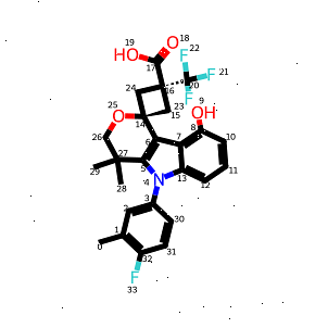 Cc1cc(-n2c3c(c4c(O)cccc42)[C@]2(C[C@@](C(=O)O)(C(F)(F)F)C2)OCC3(C)C)ccc1F